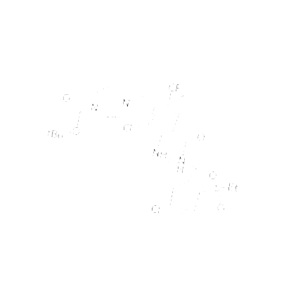 CCS(=O)(=O)c1ccc(Cl)cc1CNC(=O)c1cc(C(F)(F)F)c(CN2CCN(C(=O)OC(C)(C)C)CC2)c(Cl)c1N